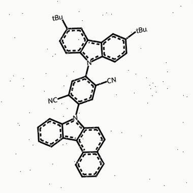 CC(C)(C)c1ccc2c(c1)c1cc(C(C)(C)C)ccc1n2-c1cc(C#N)c(-n2c3ccccc3c3c4ccccc4ccc32)cc1C#N